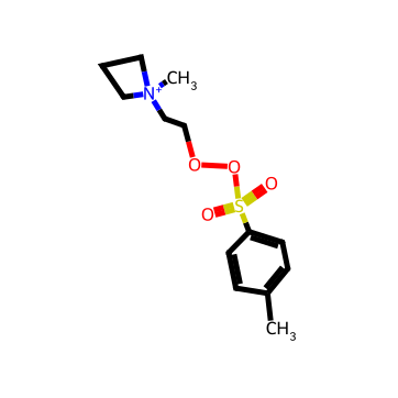 Cc1ccc(S(=O)(=O)OOCC[N+]2(C)CCC2)cc1